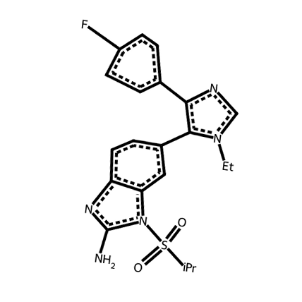 CCn1cnc(-c2ccc(F)cc2)c1-c1ccc2nc(N)n(S(=O)(=O)C(C)C)c2c1